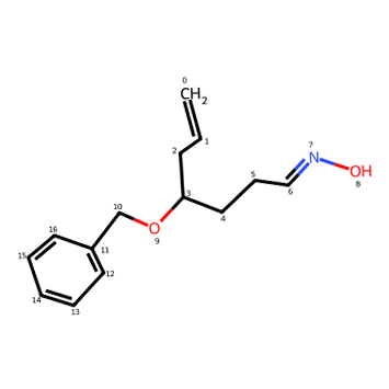 C=CCC(CC/C=N/O)OCc1ccccc1